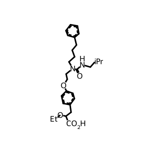 CCOC(Cc1ccc(OCCN(CCCCc2ccccc2)C(=O)NCC(C)C)cc1)C(=O)O